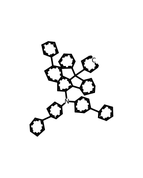 c1ccc(-c2ccc(N(c3ccc(-c4ccccc4)cc3)c3cc4ccc(-c5ccccc5)cc4c4c3-c3ccccc3C4(c3ccccc3)c3ccccc3)cc2)cc1